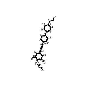 CCCc1ccc(-c2ccc(C#Cc3cc(C)c(N=C=S)c(Cl)c3)cc2)cc1